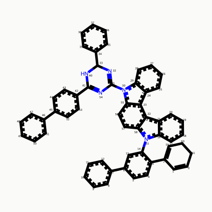 C1=CC(c2ccc(-c3ccccc3)cc2-n2c3ccccc3c3c4c5ccccc5n(C5=NC(c6ccccc6)NC(c6ccc(-c7ccccc7)cc6)=N5)c4ccc32)=CCC1